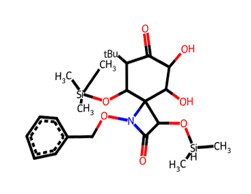 C[SiH](C)OC1C(=O)N(OCc2ccccc2)C12C(O)C(O)C(=O)C(C(C)(C)C)C2O[Si](C)(C)C